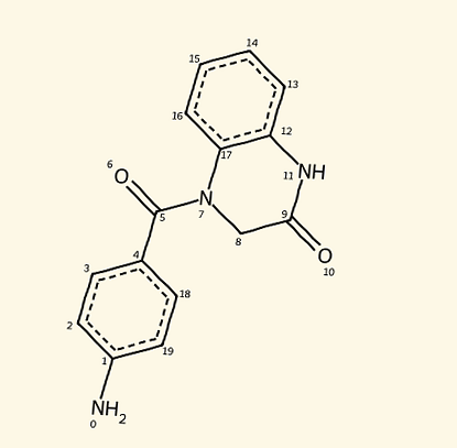 Nc1ccc(C(=O)N2CC(=O)Nc3ccccc32)cc1